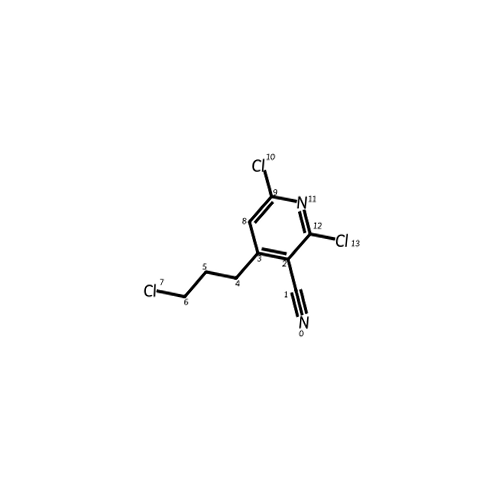 N#Cc1c(CCCCl)cc(Cl)nc1Cl